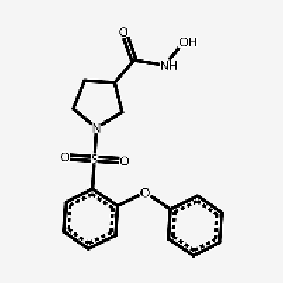 O=C(NO)C1CCN(S(=O)(=O)c2ccccc2Oc2ccccc2)C1